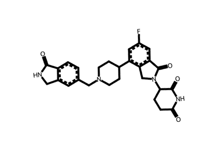 O=C1CCC(N2Cc3c(cc(F)cc3C3CCN(Cc4ccc5c(c4)CNC5=O)CC3)C2=O)C(=O)N1